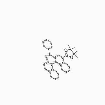 CC1(C)OB(c2cc3c(-c4ccccc4)nc4ccc5ccccc5c4c3c3ccccc23)OC1(C)C